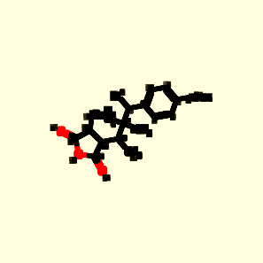 CCCCCCc1ccc(C(CC)C(C)(C)C(C)C2C(=O)OC(=O)C2C(C)(C)C)cc1